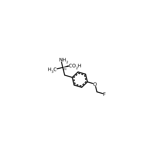 C[C@](N)(Cc1ccc(OCF)cc1)C(=O)O